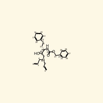 C=CCN(CC=C)C[C@@H](O)[C@H](CSc1ccccc1)NC(=O)OCc1ccccc1